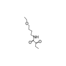 CCOCCCCNC(=O)C(=O)CC